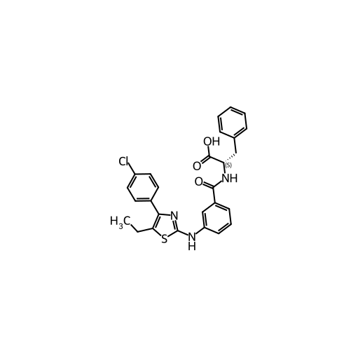 CCc1sc(Nc2cccc(C(=O)N[C@@H](Cc3ccccc3)C(=O)O)c2)nc1-c1ccc(Cl)cc1